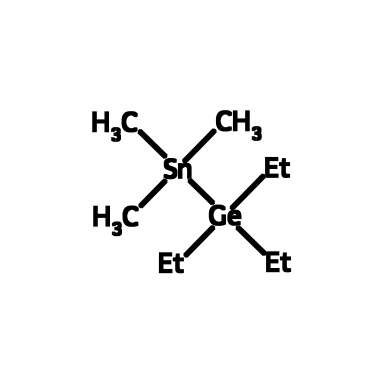 C[CH2][Ge]([CH2]C)([CH2]C)[Sn]([CH3])([CH3])[CH3]